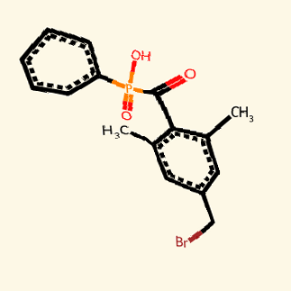 Cc1cc(CBr)cc(C)c1C(=O)P(=O)(O)c1ccccc1